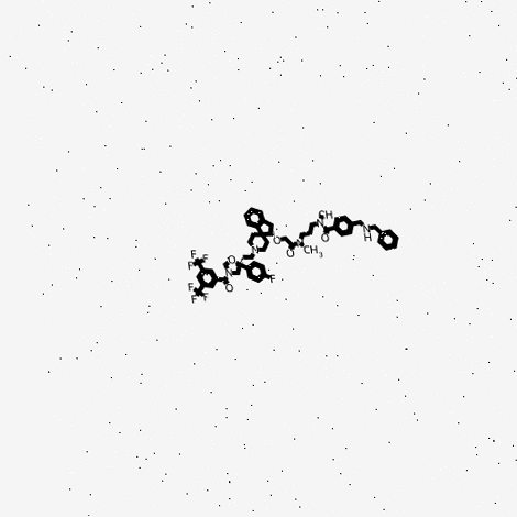 CN(CCCN(C)C(=O)c1ccc(CNCc2ccccc2)cc1)C(=O)CO[C@H]1Cc2ccccc2C12CCN(CC[C@]1(c3ccc(F)cc3)CN(C(=O)c3cc(C(F)(F)F)cc(C(F)(F)F)c3)CO1)CC2